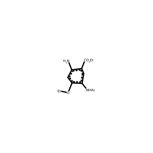 CCOC(=O)c1cc(NC(C)=O)c(OCC)cc1N